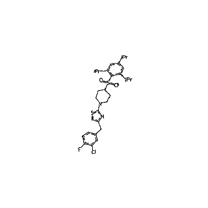 CC(C)c1cc(C(C)C)c(S(=O)(=O)C2CCN(c3nc(Cc4ccc(F)c(Cl)c4)cs3)CC2)c(C(C)C)c1